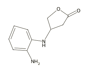 Nc1ccccc1NC1COC(=O)C1